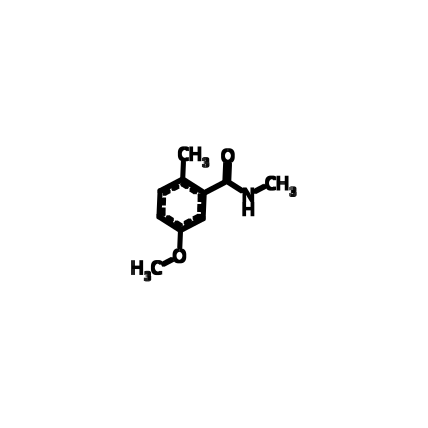 CNC(=O)c1cc(OC)ccc1C